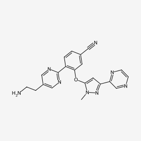 Cn1nc(-c2cnccn2)cc1Oc1cc(C#N)ccc1-c1ncc(CCN)cn1